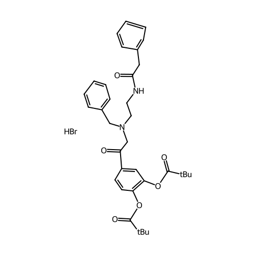 Br.CC(C)(C)C(=O)Oc1ccc(C(=O)CN(CCNC(=O)Cc2ccccc2)Cc2ccccc2)cc1OC(=O)C(C)(C)C